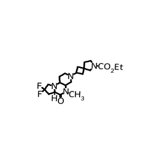 CCOC(=O)N1CCC2(CC(N3CCC4C(C3)N(C)C(=O)[C@@H]3CC(F)(F)CN43)C2)C1